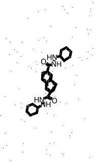 O=C(NNC1CCCCC1)c1ccc2cc(C(=O)NNC3CCCCC3)ccc2c1